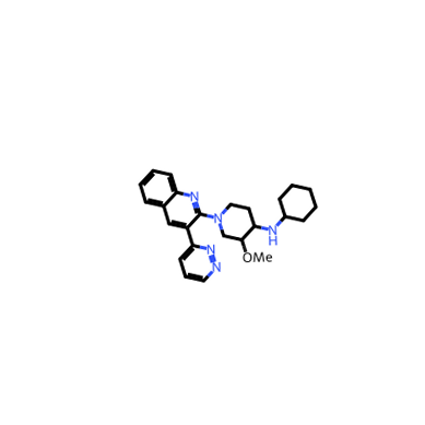 COC1CN(c2nc3ccccc3cc2-c2cccnn2)CCC1NC1CCCCC1